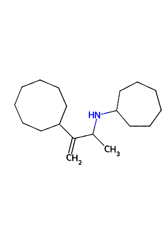 C=C(C1CCCCCCC1)C(C)NC1CCCCCC1